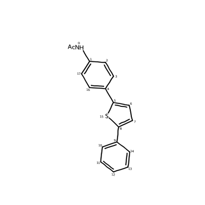 CC(=O)Nc1ccc(-c2ccc(-c3ccccc3)s2)cc1